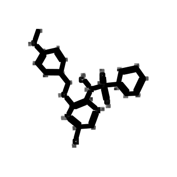 COc1ccc(COc2nc(Cl)cnc2N(Cl)S(=O)(=O)c2ccccc2)cc1